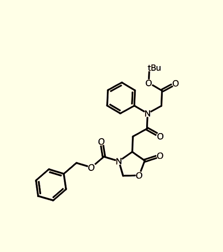 CC(C)(C)OC(=O)CN(C(=O)CC1C(=O)OCN1C(=O)OCc1ccccc1)c1ccccc1